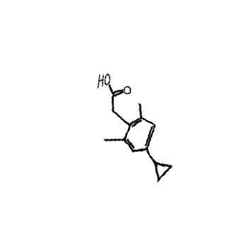 Cc1cc(C2CC2)cc(C)c1CC(=O)O